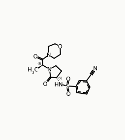 C[C@@H](C(=O)N1CCOCC1)N1CC[C@H](NS(=O)(=O)c2cccc(C#N)c2)C1=O